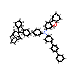 c1ccc(-c2ccc(-c3ccc(N(c4ccc(-c5ccc6c(c5)-c5ccccc5C65C6CC7CC8CC5C8(C7)C6)cc4)c4ccc5c(c4)oc4ccccc45)cc3)cc2)cc1